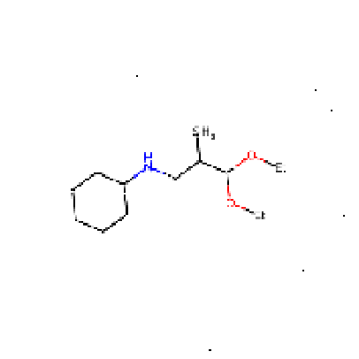 CCOC(OCC)C([SiH3])CNC1CCCCC1